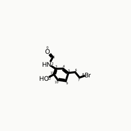 O=CNc1cc(CCBr)ccc1O